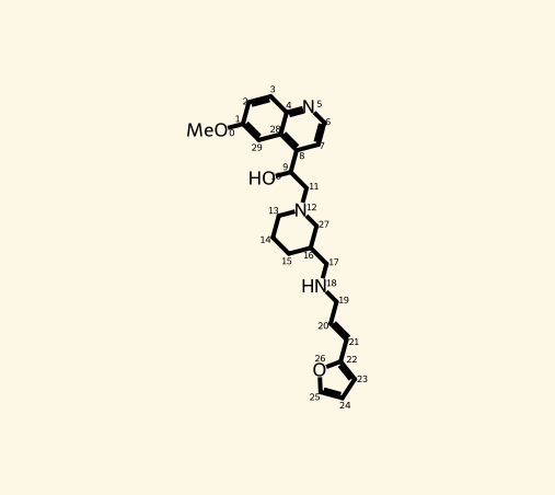 COc1ccc2nccc(C(O)CN3CCCC(CNCC=Cc4ccco4)C3)c2c1